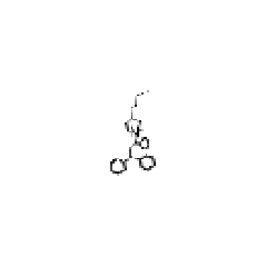 [CH2]CCCC1CCN(C(=O)CC(c2ccccc2)c2ccccc2)CC1